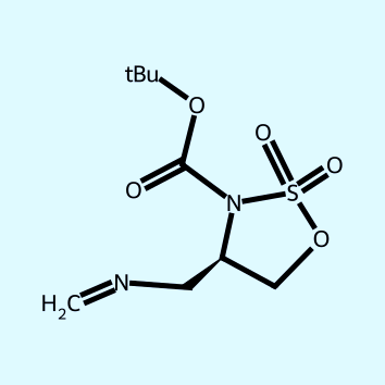 C=NC[C@@H]1COS(=O)(=O)N1C(=O)OC(C)(C)C